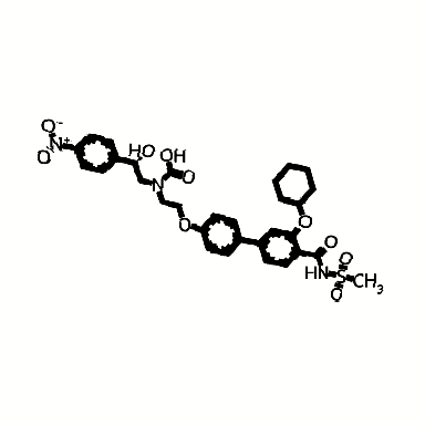 CS(=O)(=O)NC(=O)c1ccc(-c2ccc(OCCN(C[C@@H](O)c3ccc([N+](=O)[O-])cc3)C(=O)O)cc2)cc1OC1CCCCC1